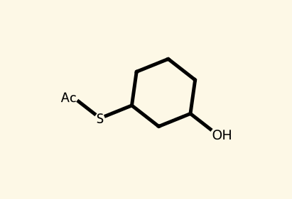 CC(=O)SC1CCCC(O)C1